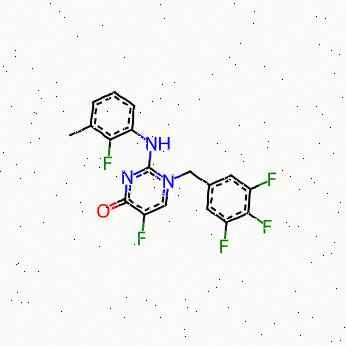 Cc1cccc(Nc2nc(=O)c(F)cn2Cc2cc(F)c(F)c(F)c2)c1F